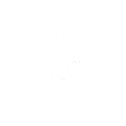 Cc1ccc(N(Cc2ccccc2)CC2CNCC2Cc2ccccc2)cc1